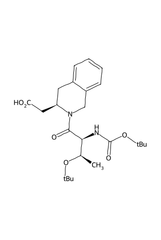 C[C@@H](OC(C)(C)C)[C@H](NC(=O)OC(C)(C)C)C(=O)N1Cc2ccccc2C[C@@H]1CC(=O)O